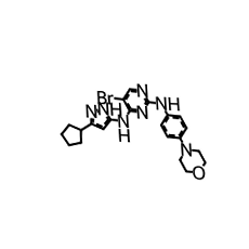 Brc1cnc(Nc2ccc(N3CCOCC3)cc2)nc1Nc1cc(C2CCCC2)n[nH]1